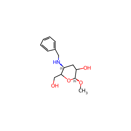 CO[C@H]1OC(CO)[C@@H](NCc2ccccc2)CC1O